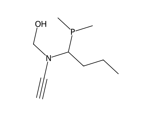 C#CN(CO)C(CCC)P(C)C